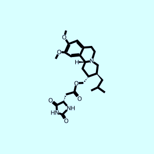 COc1cc2c(cc1OC)[C@H]1C[C@@H](COC(=O)C[C@@H]3NC(=O)NC3=O)[C@H](CC(C)C)CN1CC2